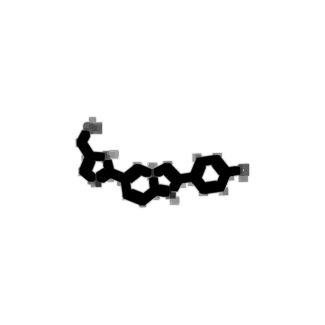 OCc1cnc(-c2ccc3nc(-c4ccc(Cl)cc4)cn3c2)s1